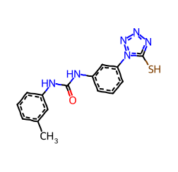 Cc1cccc(NC(=O)Nc2cccc(-n3nnnc3S)c2)c1